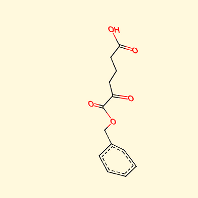 O=C(O)CCCC(=O)C(=O)OCc1ccccc1